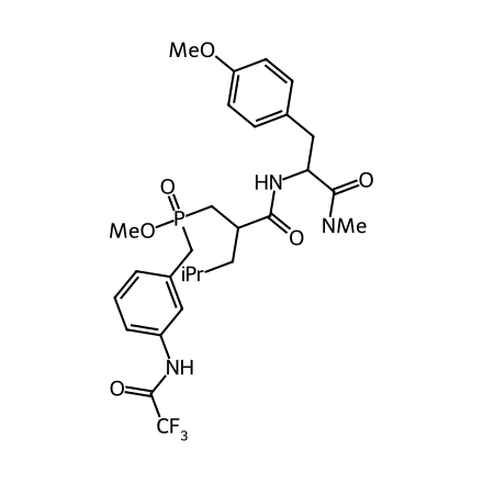 CNC(=O)C(Cc1ccc(OC)cc1)NC(=O)C(CC(C)C)CP(=O)(Cc1cccc(NC(=O)C(F)(F)F)c1)OC